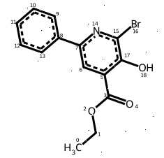 CCOC(=O)c1cc(-c2ccccc2)nc(Br)c1O